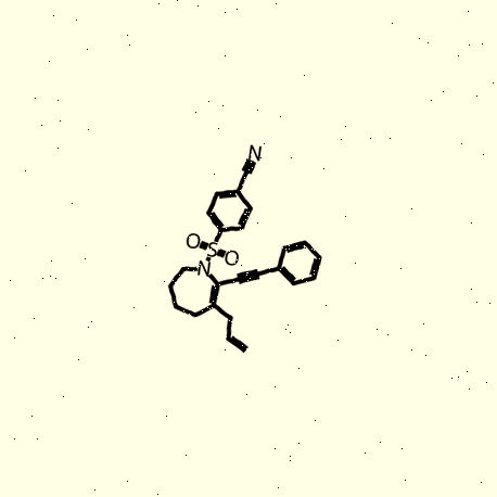 C=CCC1=C(C#Cc2ccccc2)N(S(=O)(=O)c2ccc(C#N)cc2)CCCC1